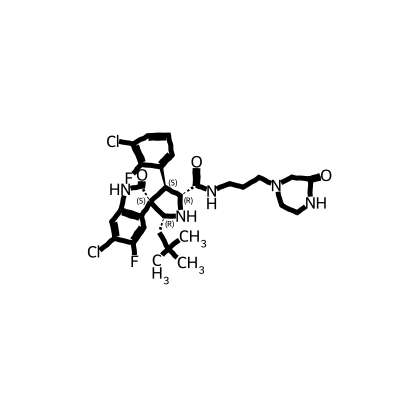 CC(C)(C)C[C@H]1N[C@@H](C(=O)NCCCN2CCNC(=O)C2)[C@H](c2cccc(Cl)c2F)[C@@]12C(=O)Nc1cc(Cl)c(F)cc12